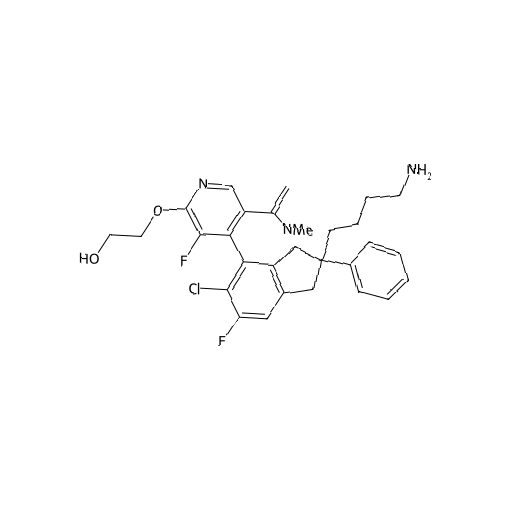 C=C(NC)c1cnc(OCCO)c(F)c1-c1c(Cl)c(F)cc2c1CC(CCCCN)(c1ccccc1)C2